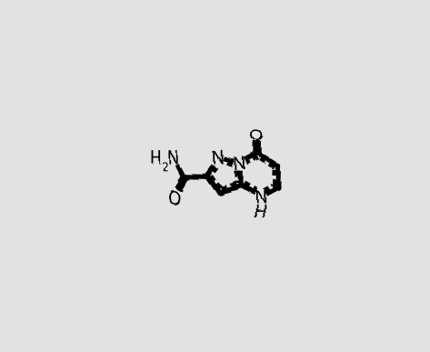 NC(=O)c1cc2[nH]ccc(=O)n2n1